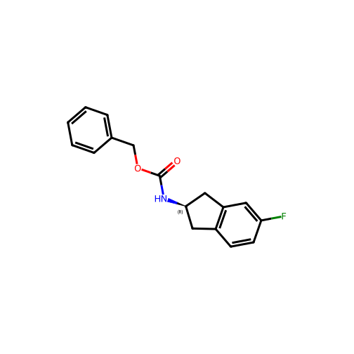 O=C(N[C@@H]1Cc2ccc(F)cc2C1)OCc1ccccc1